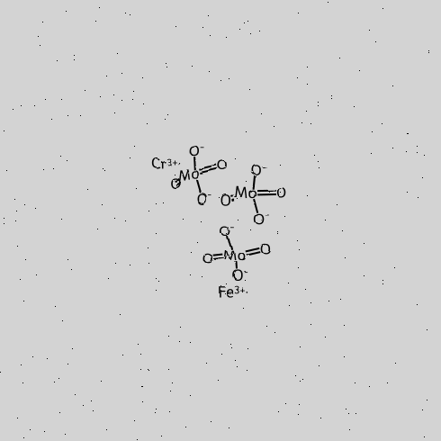 [Cr+3].[Fe+3].[O]=[Mo](=[O])([O-])[O-].[O]=[Mo](=[O])([O-])[O-].[O]=[Mo](=[O])([O-])[O-]